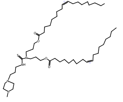 CCCCCCCC/C=C\CCCCCCCC(=O)OCCCN(CCCOC(=O)CCCCCCC/C=C\CCCCCCCC)C(=S)NCCCN1CCN(C)CC1